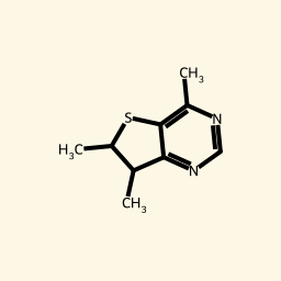 Cc1ncnc2c1SC(C)C2C